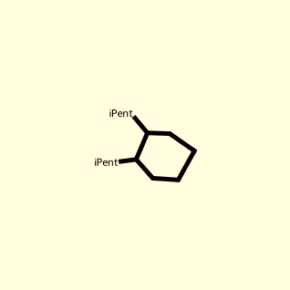 CCCC(C)[C]1CCCCC1C(C)CCC